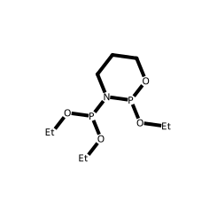 CCOP(OCC)N1CCCOP1OCC